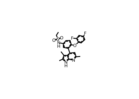 CCS(=O)(=O)Nc1ccc(Oc2ccc(F)cc2F)c(-c2cc(C)nc3[nH]c(C)c(C)c23)c1